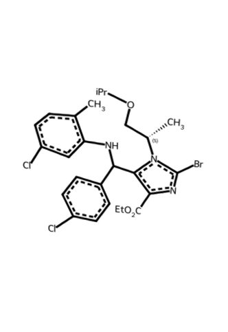 CCOC(=O)c1nc(Br)n([C@@H](C)COC(C)C)c1C(Nc1cc(Cl)ccc1C)c1ccc(Cl)cc1